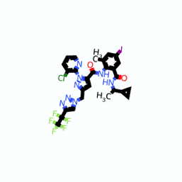 Cc1cc(I)cc(C(=O)NC(C)C2CC2)c1NC(=O)c1cc(Cn2cc(C(F)(F)C(F)(F)F)nn2)nn1-c1ncccc1Cl